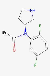 CC(C)C(=O)N(c1cc(F)ccc1F)[C@H]1CCNC1